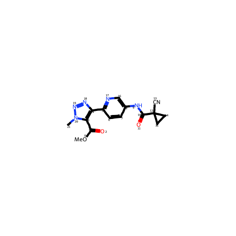 COC(=O)c1c(-c2ccc(NC(=O)C3(C#N)CC3)cn2)nnn1C